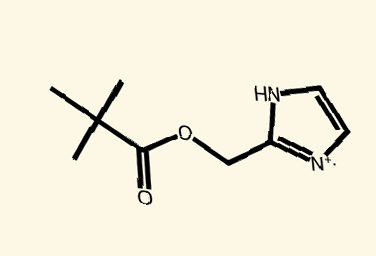 CC(C)(C)C(=O)OCC1=[N+]C=CN1